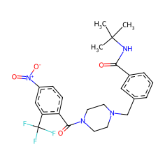 CC(C)(C)NC(=O)c1cccc(CN2CCN(C(=O)c3ccc([N+](=O)[O-])cc3C(F)(F)F)CC2)c1